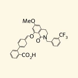 COc1cc2c(c(OC=C3C=CC(c4ccccc4C(=O)O)=CC3)c1)C(=O)N(Cc1cccc(C(F)(F)F)c1)CC2